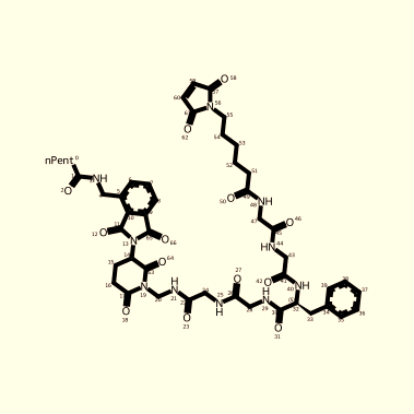 CCCCCC(=O)NCc1cccc2c1C(=O)N(C1CCC(=O)N(CNC(=O)CNC(=O)CNC(=O)[C@H](Cc3ccccc3)NC(=O)CNC(=O)CNC(=O)CCCCCN3C(=O)C=CC3=O)C1=O)C2=O